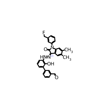 Cc1cc2c(cc1C)N(c1cccc(CF)c1)C(=O)/C2=N\Nc1cccc(-c2cccc(C=O)c2)c1O